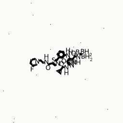 BC(B)(B)NC(=O)c1nnc(NC(=O)C2CC2)cc1Nc1cccc(-c2ncc(C(=O)NCCN3CCCC(F)C3)s2)c1OC